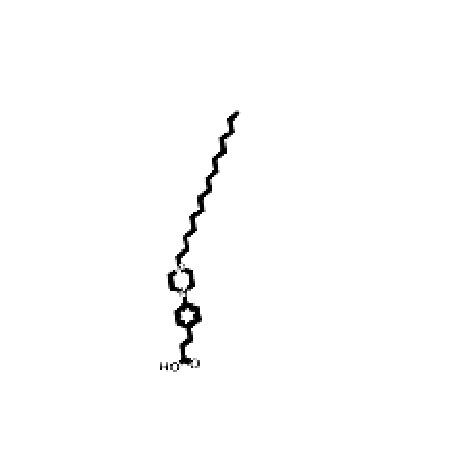 CCCCCCCCCCCCCCCCN1CCN(c2ccc(C=CC(=O)O)cc2)CC1